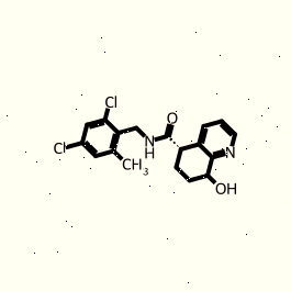 Cc1cc(Cl)cc(Cl)c1CNC(=O)[C@H]1CCC(O)c2ncccc21